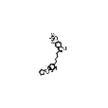 CS(=O)(=O)Oc1ccc2[nH]cc(CCCCc3ccc(OC4(C(=O)O)CCCC4)cc3)c2c1